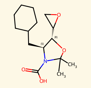 CC1(C)O[C@@H](C2CO2)[C@H](CC2CCCCC2)N1C(=O)O